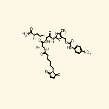 CC(C)[C@@H](NC(=O)CCCCCN1C(=O)C=CC1=O)C(=O)N[C@H](CCCNC(N)=O)C(=O)Nc1nc(C(F)(F)F)c(COC(=O)Nc2ccc([N+](=O)[O-])cc2)s1